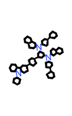 c1ccc(-c2ccc(N(c3cc(-c4ccc(-c5ccc6c(c5)c5ccccc5n6-c5ccccc5)cc4)cc(N(c4ccc(-c5ccccc5)cc4)c4ccc5ccccc5c4)c3)c3ccc4ccccc4c3)cc2)cc1